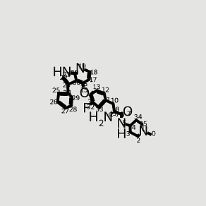 CN1CCC(NC(=O)[C@@H](N)Cc2ccc(Oc3ccnc4[nH]cc(-c5ccccc5)c34)c(F)c2)CC1